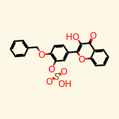 O=c1c(O)c(-c2ccc(OCc3ccccc3)c(OS(=O)(=O)O)c2)oc2ccccc12